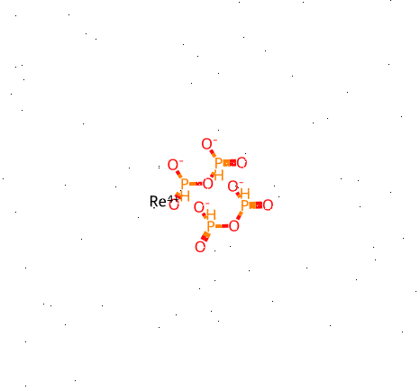 O=[PH]([O-])O[PH](=O)[O-].O=[PH]([O-])O[PH](=O)[O-].[Re+4]